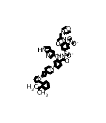 CC(C)c1ccccc1C1CCCN1C1CC2(CCN(c3ccc(C(=O)N[S+]([O-])c4cc5c(c([N+](=O)[O-])c4)NC(CN4CCOCC4)CO5)c(Oc4cnc5[nH]ccc5c4)c3)CC2)C1